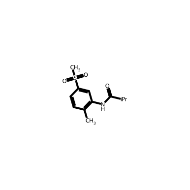 Cc1ccc(S(C)(=O)=O)cc1NC(=O)C(C)C